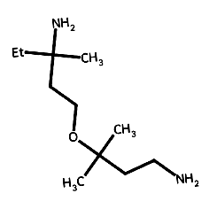 CCC(C)(N)CCOC(C)(C)CCN